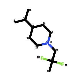 CC(C)C1CCN(CC(C)(F)F)CC1